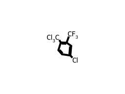 FC(F)(F)c1cc(Cl)ccc1C(Cl)(Cl)Cl